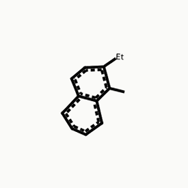 CCc1ccc2ccccc2c1C